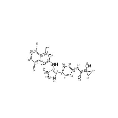 C[C@@H](OC(=O)Nc1c(-c2ccc(NC(=O)C3(C#N)CC3)cn2)nnn1C)c1cc(F)cnc1F